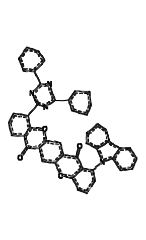 O=c1c2cc3oc4cccc(-n5c6ccccc6c6ccccc65)c4c(=O)c3cc2oc2c(-c3nc(-c4ccccc4)nc(-c4ccccc4)n3)cccc12